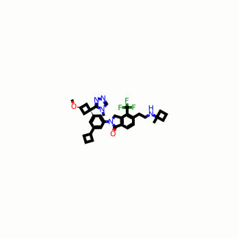 CO[C@H]1C[C@](c2cc(C3CCC3)cc(N3Cc4c(ccc(CCNC5(C)CCC5)c4C(F)(F)F)C3=O)c2)(c2nncn2C)C1